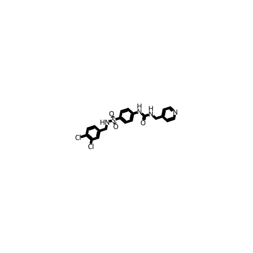 O=C(NCc1ccncc1)Nc1ccc(S(=O)(=O)NCc2ccc(Cl)c(Cl)c2)cc1